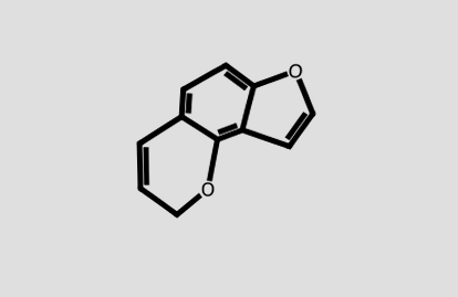 C1=Cc2ccc3occc3c2OC1